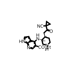 CCOC(=O)c1cnc2[nH]ccc2c1N[C@H]1CNCC[C@@H]1CC(=O)C1(C#N)CC1